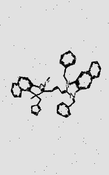 C[N+]1=C(/C=C/C=C2N(Cc3ccccc3)c3cc4ccccc4cc3N2Cc2ccccc2)C(C)(CC2=CC=CC2)c2c1ccc1ccccc21